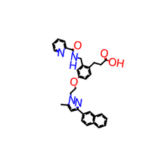 Cc1cc(-c2ccc3ccccc3c2)nn1CCOc1ccc(CCC(=O)O)c(CNC(=O)c2ccccn2)c1